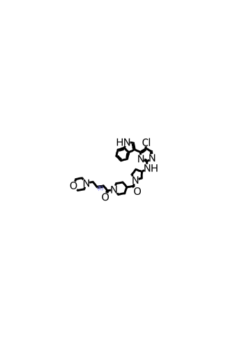 O=C(/C=C/CN1CCOCC1)N1CCC(C(=O)N2CCC(Nc3ncc(Cl)c(-c4c[nH]c5ccccc45)n3)C2)CC1